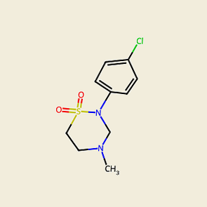 CN1CCS(=O)(=O)N(c2ccc(Cl)cc2)C1